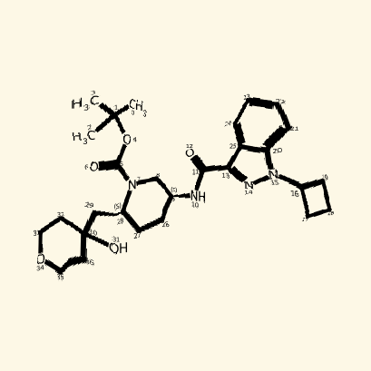 CC(C)(C)OC(=O)N1C[C@@H](NC(=O)c2nn(C3CCC3)c3ccccc23)CC[C@H]1CC1(O)CCOCC1